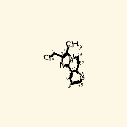 Cc1c(CCl)nc2c3cccnc3ccn12